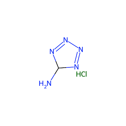 Cl.NC1N=NN=N1